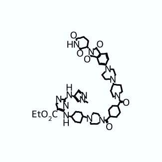 CCOC(=O)c1cnc(Nc2cnn(C)c2)nc1NC1CCC(N2CCN(C(=O)C3CCC(C(=O)N4CCC(N5CCN(c6ccc7c(c6)C(=O)N(C6CCC(=O)NC6=O)C7=O)CC5)CC4)CC3)CC2)CC1